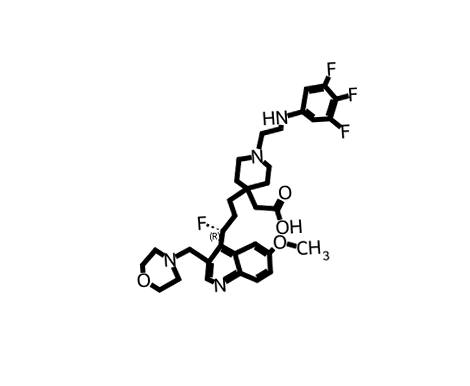 COc1ccc2ncc(CN3CCOCC3)c([C@H](F)CCC3(CC(=O)O)CCN(CCNc4cc(F)c(F)c(F)c4)CC3)c2c1